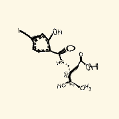 C[C@@H](O)[C@H](NC(=O)c1ccc(I)cc1O)C(=O)O